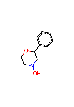 ON1CCOC(c2ccccc2)C1